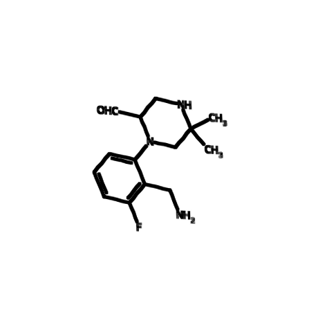 CC1(C)CN(c2cccc(F)c2CN)C(C=O)CN1